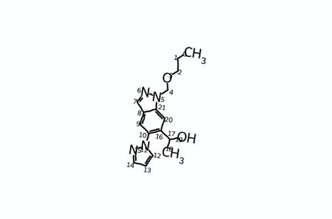 CCCOCn1ncc2cc(-n3cccn3)c(C(C)O)cc21